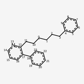 [CH](CCCc1ccccc1)CCc1ncccc1-c1ccccc1